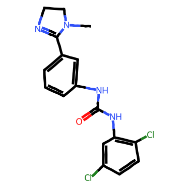 CN1CCN=C1c1cccc(NC(=O)Nc2cc(Cl)ccc2Cl)c1